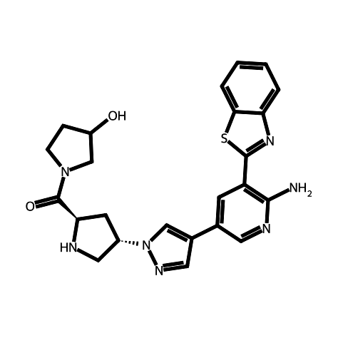 Nc1ncc(-c2cnn([C@@H]3CN[C@@H](C(=O)N4CCC(O)C4)C3)c2)cc1-c1nc2ccccc2s1